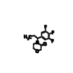 CCC(c1cc(F)c(F)c(F)c1)N1CCOCC1=O